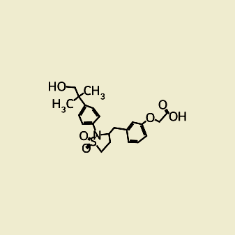 CC(C)(CO)c1ccc(N2C(Cc3cccc(OCC(=O)O)c3)CCS2(=O)=O)cc1